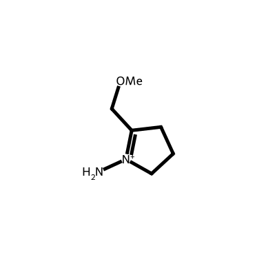 COCC1=[N+](N)CCC1